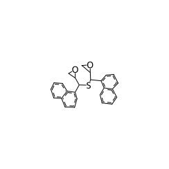 c1ccc2c(C(SC(c3cccc4ccccc34)C3CO3)C3CO3)cccc2c1